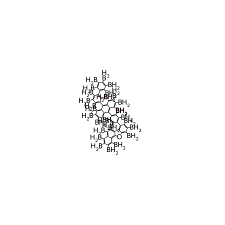 Bc1c(B)c(B)c(-c2c(B)c(B)c(B)c(-c3c4c(B)c(B)c(B)c(B)c4c(-c4c(B)c(B)c(-c5c(B)c(B)c(B)c6oc7c8c(B)c(B)c(B)c(B)c8c(B)c(B)c7c56)c(B)c4B)c4c(B)c(B)c(B)c(B)c34)c2B)c(B)c1B